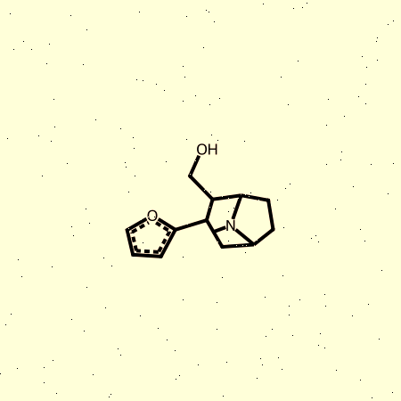 CN1C2CCC1C(CO)C(c1ccco1)C2